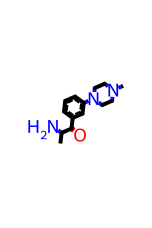 CC(N)C(=O)c1cccc(N2CCN(C)CC2)c1